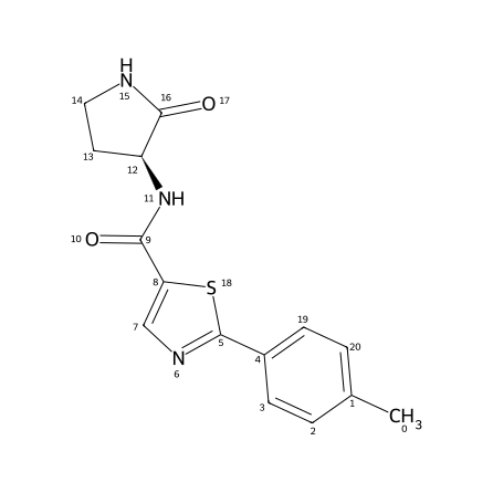 Cc1ccc(-c2ncc(C(=O)N[C@H]3CCNC3=O)s2)cc1